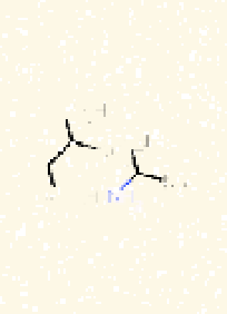 C[CH](N)[Na].O=C(O)CC(C(=O)O)S(=O)(=O)O